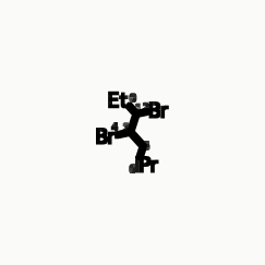 CCC(Br)C(Br)CC(C)C